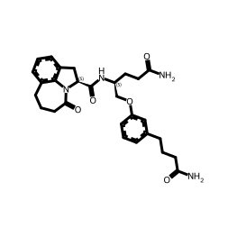 NC(=O)CCCc1cccc(OC[C@H](CCC(N)=O)NC(=O)[C@@H]2Cc3cccc4c3N2C(=O)CCC4)c1